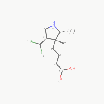 C[C@]1(CCCB(O)O)[C@@H](C(=O)O)NC[C@@H]1C(F)F